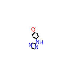 COc1ccc(Nc2cnccn2)cc1